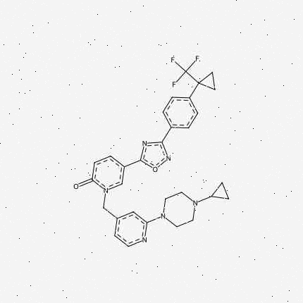 O=c1ccc(-c2nc(-c3ccc(C4(C(F)(F)F)CC4)cc3)no2)cn1Cc1ccnc(N2CCN(C3CC3)CC2)c1